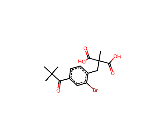 CC(C)(C)C(=O)c1ccc(CC(C)(C(=O)O)C(=O)O)c(Br)c1